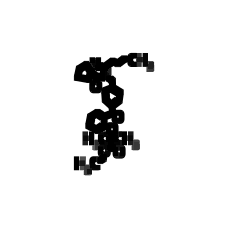 CCCCC1=NC2(CCCC2)C(=O)N1Cc1ccc(C(=O)c2ccccc2OC(C)(C)C(=O)OCC)cc1